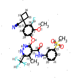 COc1c(Oc2nnc(C(F)(F)F)c(C)c2C(=O)Nc2cccc(S(C)(=O)=O)c2)ccc(C2(C#N)CCC2)c1F